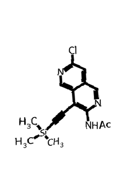 CC(=O)Nc1ncc2cc(Cl)ncc2c1C#C[Si](C)(C)C